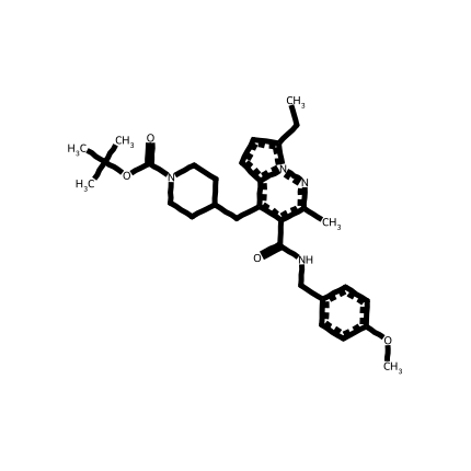 CCc1ccc2c(CC3CCN(C(=O)OC(C)(C)C)CC3)c(C(=O)NCc3ccc(OC)cc3)c(C)nn12